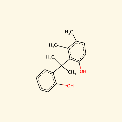 Cc1ccc(O)c(C(C)(C)c2ccccc2O)c1C